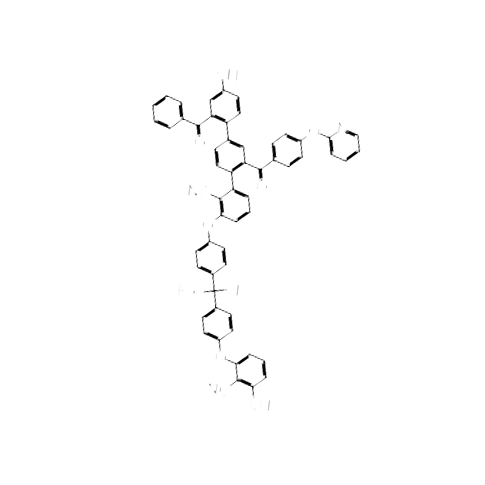 Cc1ccc(-c2ccc(-c3cccc(Oc4ccc(C(c5ccc(Oc6cccc(C)c6C#N)cc5)(C(F)(F)F)C(F)(F)F)cc4)c3C#N)c(C(=O)c3ccc(Oc4ccccn4)cc3)c2)c(C(=O)c2ccccc2)c1